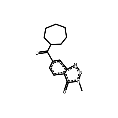 Cn1nnc2cc(C(=O)C3CCCCCC3)ccc2c1=O